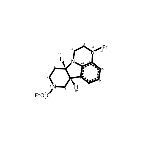 CCOC(=O)N1CC[C@H]2[C@@H](C1)c1cccc3c1N2CCN3C(C)C